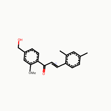 COc1cc(CO)ccc1C(=O)/C=C/c1ccc(C)cc1C